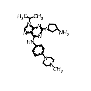 CC(C)n1cnc2c(Nc3ccc(N4CCN(C)CC4)cc3)nc(N3CCC(N)C3)nc21